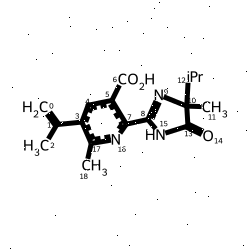 C=C(C)c1cc(C(=O)O)c(C2=NC(C)(C(C)C)C(=O)N2)nc1C